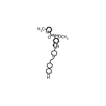 COc1cc2nn(C3CCN(CCC4CCC5(CCNCC5)CC4)CC3)cc2cc1NC(=O)c1cccc(C)n1